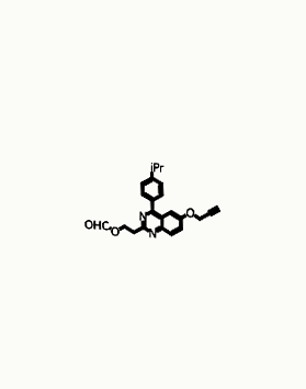 C#CCOc1ccc2nc(CCOC=O)nc(-c3ccc(C(C)C)cc3)c2c1